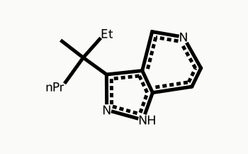 CCCC(C)(CC)c1n[nH]c2ccncc12